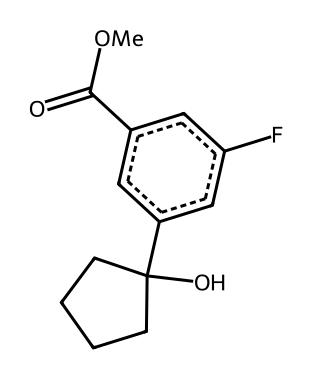 COC(=O)c1cc(F)cc(C2(O)CCCC2)c1